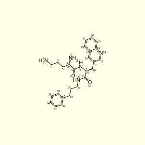 NCCC[C@@H](N)C(=O)N[C@@H](Cc1cnc2ccccc2c1)C(=O)NCCCc1ccccc1